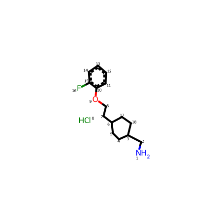 Cl.NCC1CCC(CCOc2ccccc2F)CC1